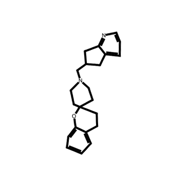 c1ccc2c(c1)CCC1(CCN(CC3Cc4cccnc4C3)CC1)O2